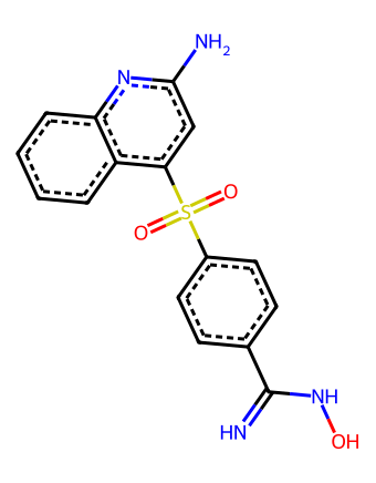 N=C(NO)c1ccc(S(=O)(=O)c2cc(N)nc3ccccc23)cc1